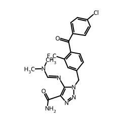 CN(C)C=Nc1c(C(N)=O)nnn1Cc1ccc(C(=O)c2ccc(Cl)cc2)c(C(F)(F)F)c1